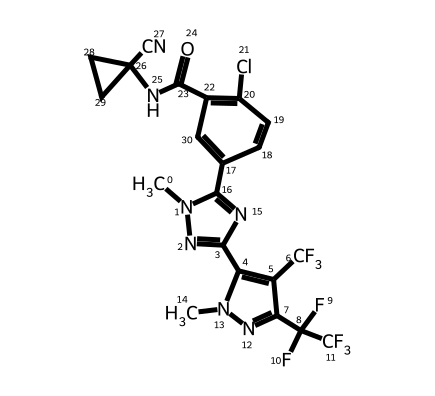 Cn1nc(-c2c(C(F)(F)F)c(C(F)(F)C(F)(F)F)nn2C)nc1-c1ccc(Cl)c(C(=O)NC2(C#N)CC2)c1